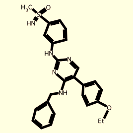 CCOc1ccc(-c2cnc(Nc3cccc(S(C)(=N)=O)c3)nc2NCc2ccccc2)cc1